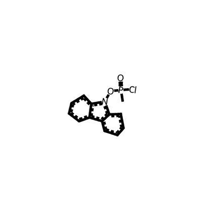 CP(=O)(Cl)On1c2ccccc2c2ccccc21